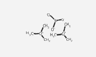 C[O+](C)C.C[O+](C)C.[O-]B([O-])Cl